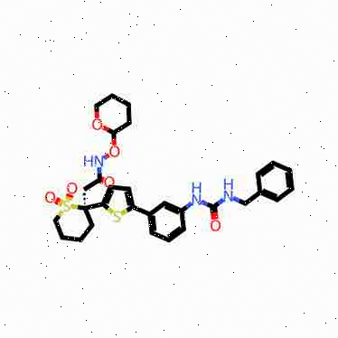 O=C(C[C@]1(c2ccc(-c3cccc(NC(=O)NCc4ccccc4)c3)s2)CCCCS1(=O)=O)NOC1CCCCO1